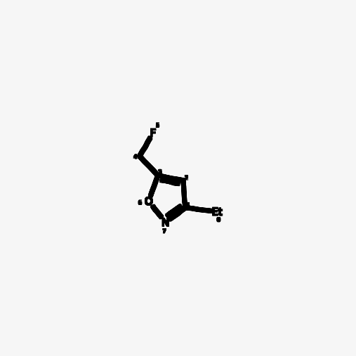 CCc1cc(CF)on1